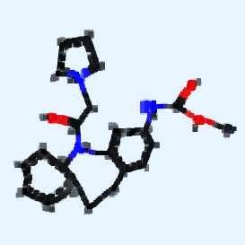 CC(C)OC(=O)Nc1ccc2c(c1)N(C(=O)Cn1cccc1)c1ccccc1CC2